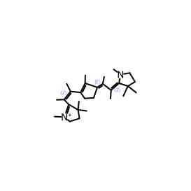 CC1=C(C(/C)=C(/C)C2=[N+](C)CCC2(C)C)CC/C1=C(C)\C(C)=C1/N(C)CCC1(C)C